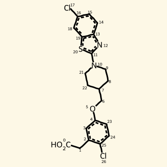 O=C(O)Cc1cc(OCC2CCN(c3nc4ccc(Cl)cc4s3)CC2)ccc1Cl